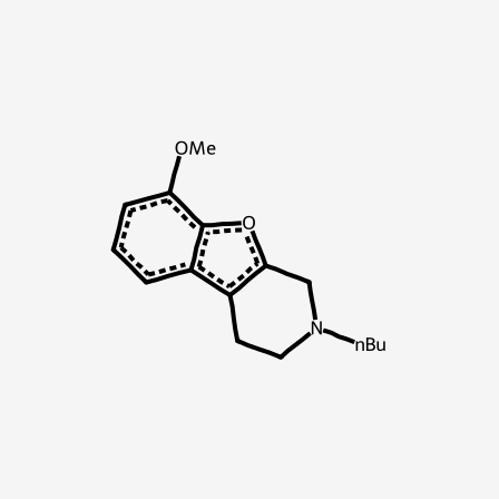 CCCCN1CCc2c(oc3c(OC)cccc23)C1